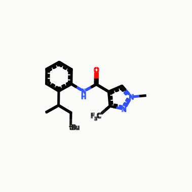 CC(CC(C)(C)C)c1ccccc1NC(=O)c1cn(C)nc1C(F)(F)F